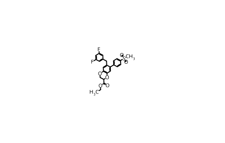 CCOC(=O)C1COc2cc(Cc3cc(F)cc(F)c3)c(-c3ccc(S(C)(=O)=O)cc3)cc2O1